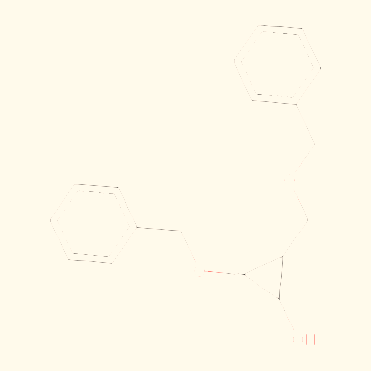 OC1C(COCc2ccccc2)C1OCc1ccccc1